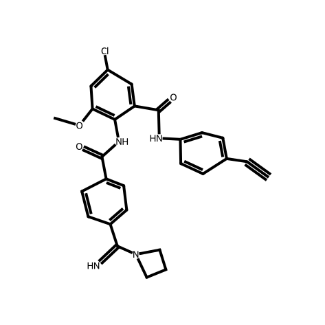 C#Cc1ccc(NC(=O)c2cc(Cl)cc(OC)c2NC(=O)c2ccc(C(=N)N3CCC3)cc2)cc1